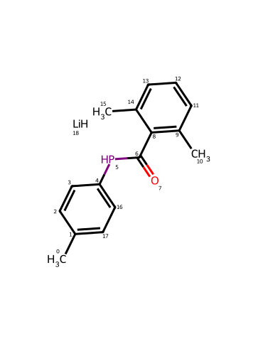 Cc1ccc(PC(=O)c2c(C)cccc2C)cc1.[LiH]